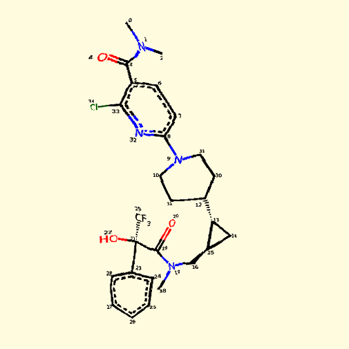 CN(C)C(=O)c1ccc(N2CCC([C@@H]3C[C@H]3CN(C)C(=O)[C@](O)(c3ccccc3)C(F)(F)F)CC2)nc1Cl